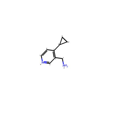 NCc1[c]nccc1C1CC1